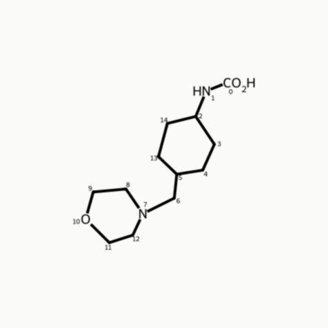 O=C(O)NC1CCC(CN2CCOCC2)CC1